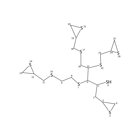 SC(CC1CS1)C(SCCSCC1CS1)C(CSCC1CS1)SCC1CS1